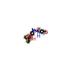 CN(CCC(=O)Nc1cc(F)c(C=O)cc1F)C1CCC(OC(=O)C(O)(c2cccs2)c2cccs2)CC1